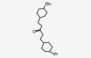 CC(C)C1CCC(CCC(=O)CCC2CCC(C(C)(C)C)CC2)CC1